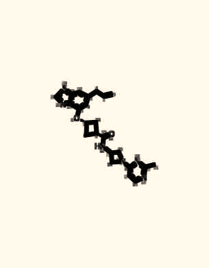 C=CCc1cc(O[C@H]2C[C@H](C(=O)NC3CN(c4ccnc(C)n4)C3)C2)c2ncsc2c1